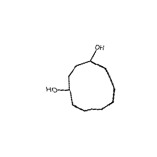 OC1CCCCCCC(O)CC1